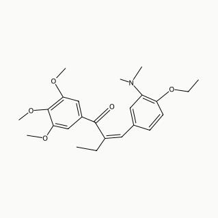 CCOc1ccc(C=C(CC)C(=O)c2cc(OC)c(OC)c(OC)c2)cc1N(C)C